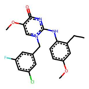 CCc1cc(OC)ccc1Nc1nc(=O)c(OC)cn1Cc1cc(F)cc(Cl)c1